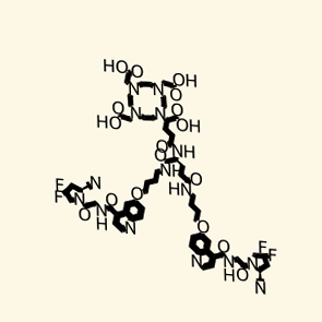 N#C[C@@H]1CC(F)(F)CN1C(=O)CNC(=O)c1ccnc2ccc(OCCCCNC(=O)CC[C@H](NC(=O)CCC(C(=O)O)N3CCN(CC(=O)O)CCN(CC(=O)O)CCN(CC(=O)O)CC3)C(=O)NCCCCOc3ccc4nccc(C(=O)NCC(=O)N5CC(F)(F)C[C@H]5C#N)c4c3)cc12